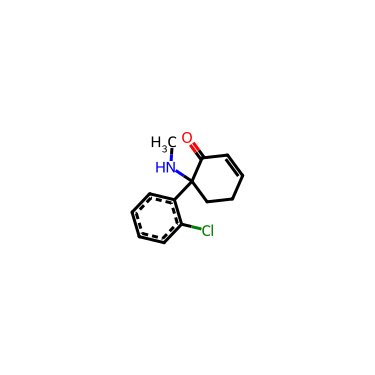 CNC1(c2ccccc2Cl)CCC=CC1=O